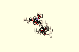 CC(=O)OC[C@@H](C)[C@@H](OC(C)=O)[C@H](C)[C@@H](OC(C)=O)C(=O)NCCOCCN(C)Cc1cccc(C(=O)Nc2sc3c(c2C(=O)N/N=C/c2ccc(Cl)c(C(F)(F)F)c2)CCC(C)(C)C3)c1